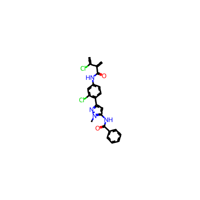 C=C(Cl)C(=C)C(=O)Nc1ccc(-c2cc(NC(=O)c3ccccc3)n(C)n2)c(Cl)c1